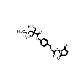 CCC(CC)(COC)C(=O)Oc1ccc(COC(=O)ON2C(=O)CCC2=O)cc1